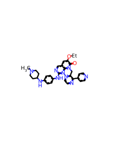 CCOc1cc2cnc(Nc3ccc(NC4CCN(C)CC4)cc3)nc2n(Cc2nccnc2-c2ccncc2)c1=O